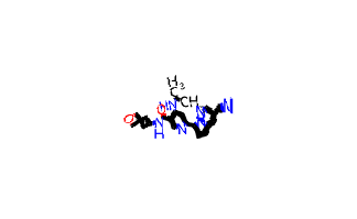 CC(C)Nc1cc(-c2ccc3cc(C#N)cnn23)ncc1C(=O)NC1CC2(COC2)C1